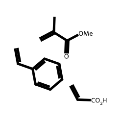 C=C(C)C(=O)OC.C=CC(=O)O.C=Cc1ccccc1